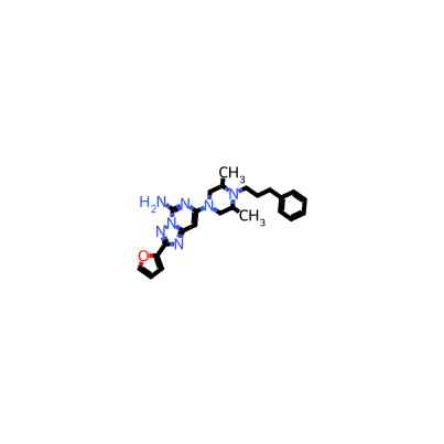 CC1CN(c2cc3nc(-c4ccco4)nn3c(N)n2)CC(C)N1CCCc1ccccc1